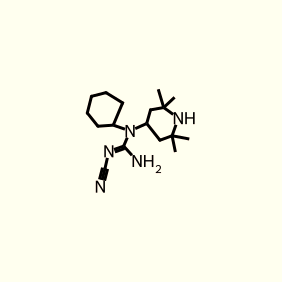 CC1(C)CC(N(/C(N)=N/C#N)C2CCCCC2)CC(C)(C)N1